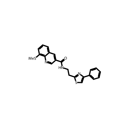 CSc1cccc2cc(C(=O)NCCc3nc(-c4ccccc4)cs3)cnc12